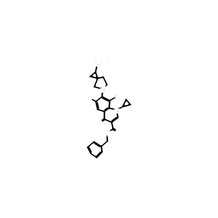 CC(=O)NC1CC12CCN(c1c(F)cc3c(=O)c(C(=O)OCc4ccccc4)cn(C4CC4)c3c1F)C2